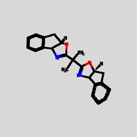 CC(C)(C1=NC2c3ccccc3C[C@@H]2O1)C1=NC2c3ccccc3C[C@@H]2O1